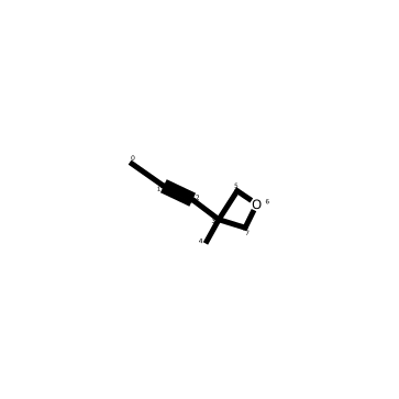 CC#CC1(C)COC1